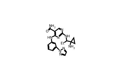 CCC(Nc1ncc(C(N)=O)c(Nc2cccc(-n3nccn3)c2)n1)C1(N)CC1